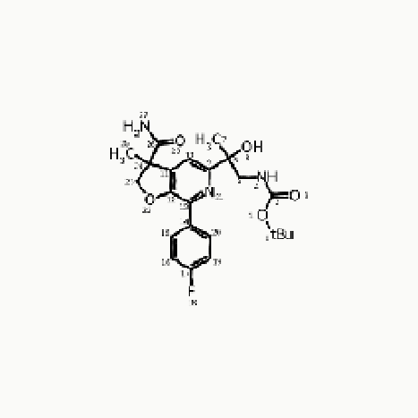 CC(C)(C)OC(=O)NCC(C)(O)c1cc2c(c(-c3ccc(F)cc3)n1)OCC2(C)C(N)=O